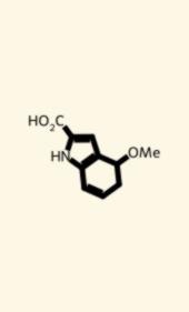 COC1CC=Cc2[nH]c(C(=O)O)cc21